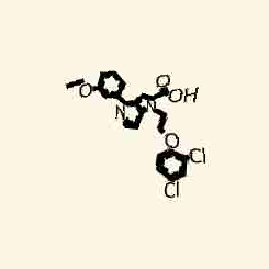 CCOc1cccc(-c2nccc3c2cc(C(=O)O)n3CCOc2ccc(Cl)cc2Cl)c1